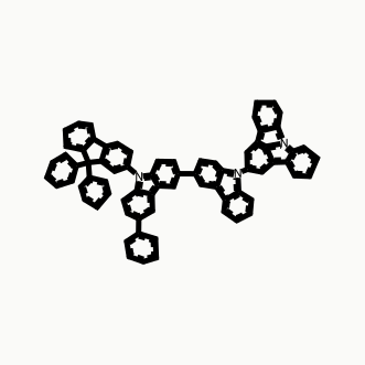 c1ccc(-c2ccc3c(c2)c2cc(-c4ccc5c(c4)c4ccccc4n5-c4cc5c6ccccc6n6c7ccccc7c(c4)c56)ccc2n3-c2ccc3c(c2)C(c2ccccc2)(c2ccccc2)c2ccccc2-3)cc1